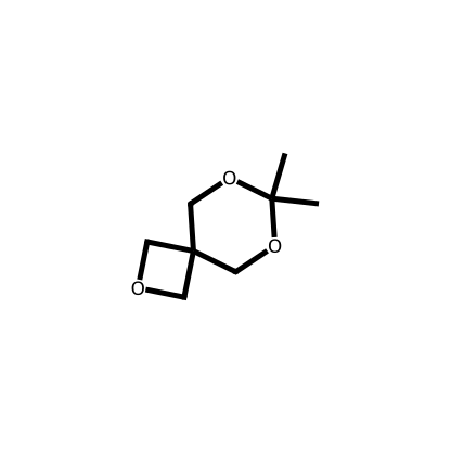 CC1(C)OCC2(COC2)CO1